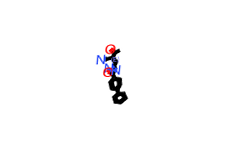 CC(=O)/C(C#N)=C/c1noc(-c2ccc(-c3ccccc3)cc2)n1